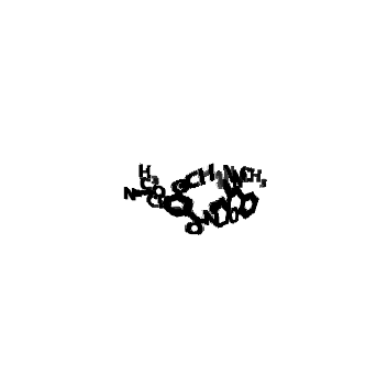 COc1cc(C(=O)N2CCC3(CC2)Oc2ccccc2-c2c3cnn2C)ccc1OC(C)(C)C#N